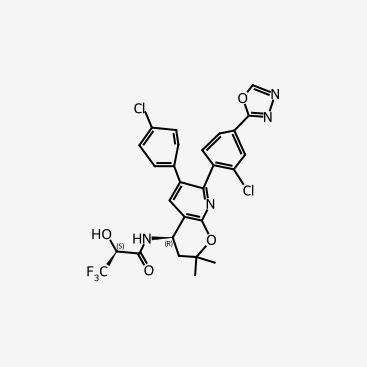 CC1(C)C[C@@H](NC(=O)[C@H](O)C(F)(F)F)c2cc(-c3ccc(Cl)cc3)c(-c3ccc(-c4nnco4)cc3Cl)nc2O1